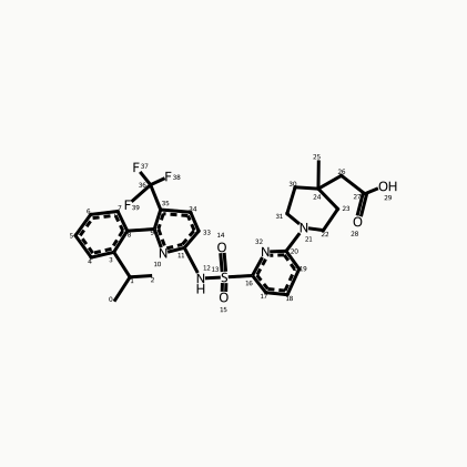 CC(C)c1ccccc1-c1nc(NS(=O)(=O)c2cccc(N3CCC(C)(CC(=O)O)CC3)n2)ccc1C(F)(F)F